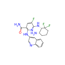 NC(=O)c1cc(F)c(N[C@H]2[C@@H](N)CCCC2(F)F)nc1Nc1cnc2ccccc2c1